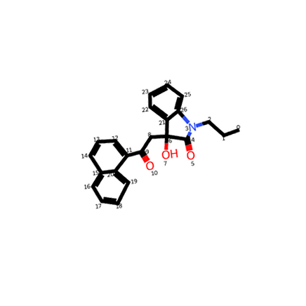 CCCN1C(=O)C(O)(CC(=O)c2cccc3ccccc23)c2ccccc21